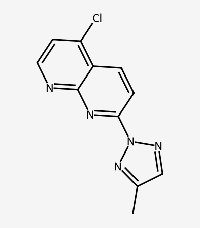 Cc1cnn(-c2ccc3c(Cl)ccnc3n2)n1